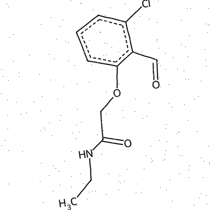 CCNC(=O)COc1cccc(Cl)c1C=O